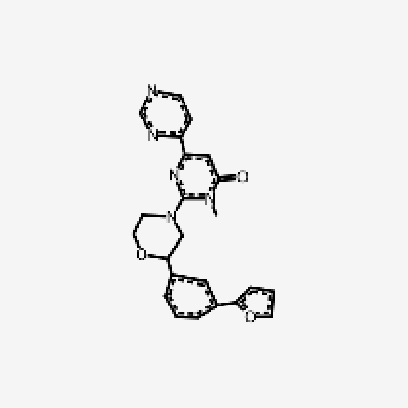 Cn1c(N2CCOC(c3cccc(-c4ccco4)c3)C2)nc(-c2ccncn2)cc1=O